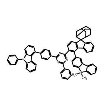 CS1(C)c2ccccc2-c2cc(-c3c(-c4nc(-c5ccccc5)nc(-c5ccc(-c6cccc7c6c6ccccc6n7-c6ccccc6)cc5)n4)ccc4c3-c3ccccc3C43C4CC5CC(C4)CC3C5)ccc21